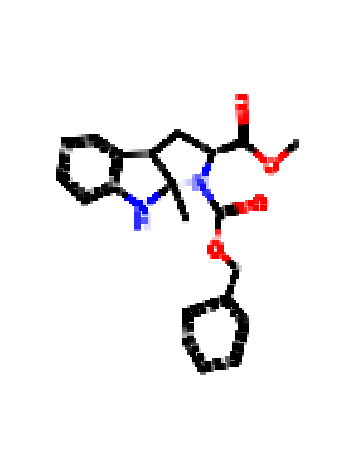 COC(=O)[C@@H]1CC2c3ccccc3NC2(C)N1C(=O)OCc1ccccc1